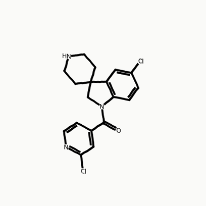 O=C(c1ccnc(Cl)c1)N1CC2(CCNCC2)c2cc(Cl)ccc21